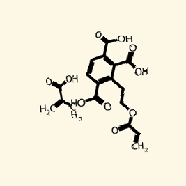 C=C(C)C(=O)O.C=CC(=O)OCCc1c(C(=O)O)ccc(C(=O)O)c1C(=O)O